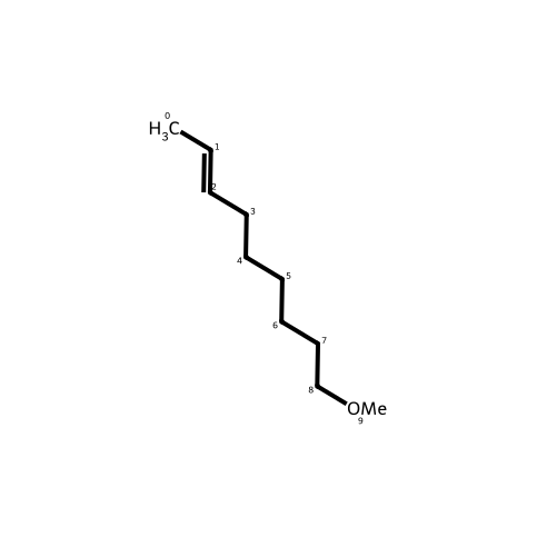 C/C=C/CCCCCCOC